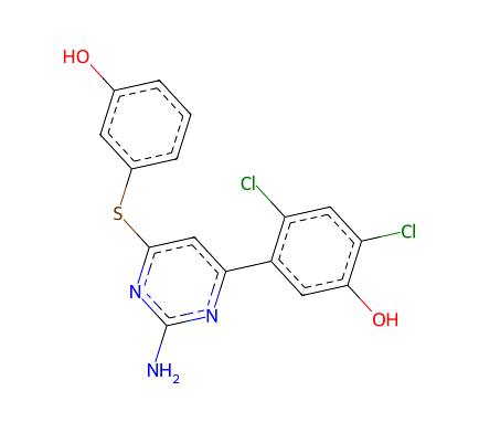 Nc1nc(Sc2cccc(O)c2)cc(-c2cc(O)c(Cl)cc2Cl)n1